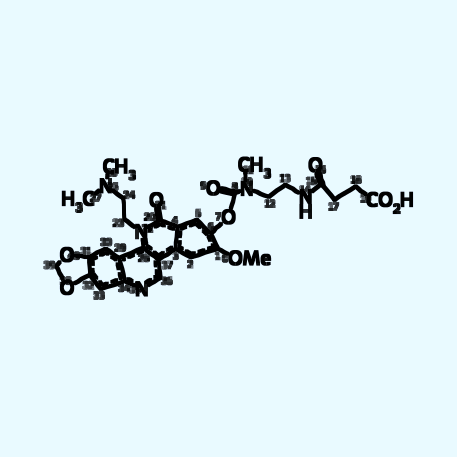 COc1cc2c(cc1OC(=O)N(C)CCNC(=O)CCC(=O)O)c(=O)n(CCN(C)C)c1c3cc4c(cc3ncc21)OCO4